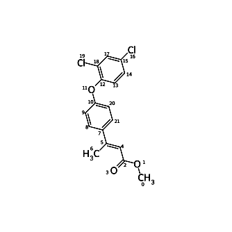 COC(=O)C=C(C)c1ccc(Oc2ccc(Cl)cc2Cl)cc1